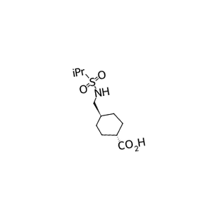 CC(C)S(=O)(=O)NC[C@H]1CC[C@H](C(=O)O)CC1